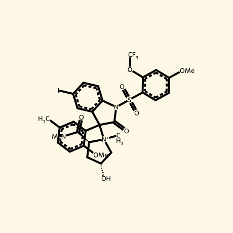 CNC(=O)[C@@H]1C[C@@H](O)C[N+]1(C)C1(c2cc(C)ccc2OC)C(=O)N(S(=O)(=O)c2ccc(OC)cc2OC(F)(F)F)c2ccc(I)cc21